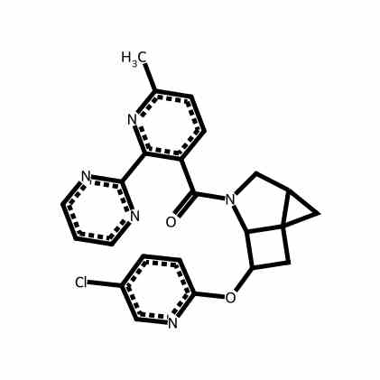 Cc1ccc(C(=O)N2CC3CC34CC(Oc3ccc(Cl)cn3)C24)c(-c2ncccn2)n1